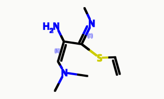 C=CSC(=N/C)/C(N)=C\N(C)C